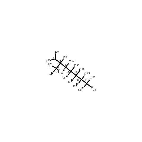 FC(F)C(F)(C(F)(F)F)C(F)(F)C(F)(F)C(F)(F)C(F)(F)C(F)(F)F